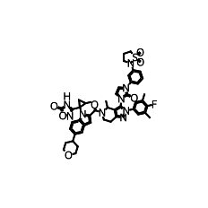 Cc1cc(-n2nc3c(c2-n2ccn(-c4cccc(N5CCCS5(=O)=O)c4)c2=O)C(C)N(C(=O)c2cc4cc(C5CCOCC5)ccc4n2C2(c4noc(=O)[nH]4)CC2C)CC3)cc(C)c1F